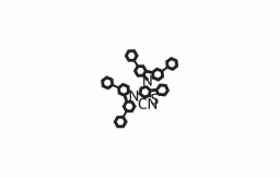 N#Cc1c(-n2c3ccc(-c4ccccc4)cc3c3cc(-c4ccccc4)ccc32)cc(-n2c3ccc(-c4ccccc4)cc3c3cc(-c4ccccc4)ccc32)c2c1sc1ccccc12